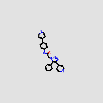 O=C(Cn1nnc(-c2ccncc2)c1-c1ccccc1)Nc1ccc(-c2ccncc2)cc1